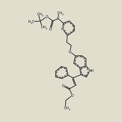 CCOC(=O)C=C(c1ccccc1)c1c[nH]c2ccc(OCCc3cccc(N(C)C(=O)OC(C)(C)C)n3)cc12